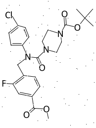 COC(=O)c1ccc(CN(C(=O)N2CCN(C(=O)OC(C)(C)C)CC2)c2ccc(Cl)cc2)c(F)c1